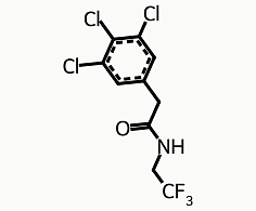 O=C(Cc1cc(Cl)c(Cl)c(Cl)c1)NCC(F)(F)F